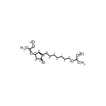 CCOC(C)OCCCCCCCC1=CC(OC(C)OCC)CC1=O